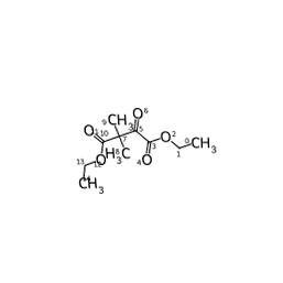 CCOC(=O)C(=O)C(C)(C)C(=O)OCC